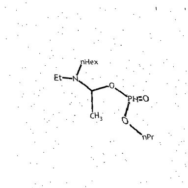 CCCCCCN(CC)C(C)O[PH](=O)OCCC